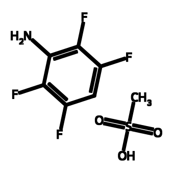 CS(=O)(=O)O.Nc1c(F)c(F)cc(F)c1F